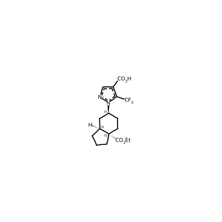 CCOC(=O)[C@]12CCC[C@H]1C[C@@H](n1ncc(C(=O)O)c1C(F)(F)F)CC2